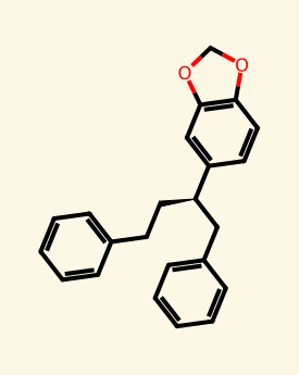 c1ccc(CC[C@H](Cc2ccccc2)c2ccc3c(c2)OCO3)cc1